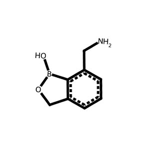 NCc1cccc2c1B(O)OC2